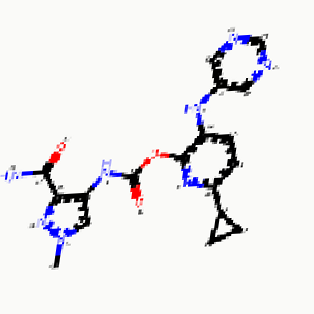 Cn1cc(NC(=O)Oc2nc(C3CC3)ccc2Nc2cncnc2)c(C(N)=O)n1